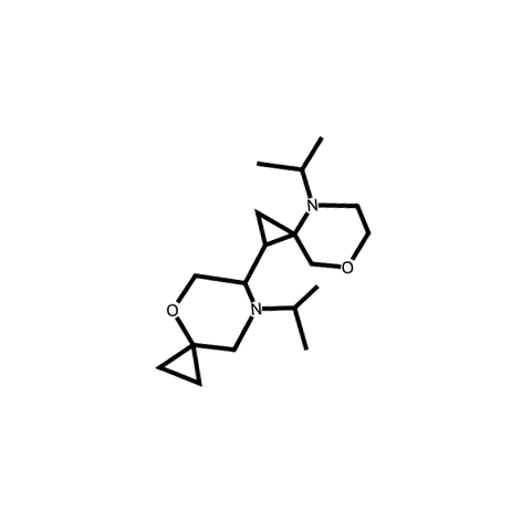 CC(C)N1CC2(CC2)OCC1C1CC12COCCN2C(C)C